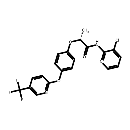 C[C@@H](Oc1ccc(Oc2ccc(C(F)(F)F)cn2)cc1)C(=O)Nc1ncccc1Cl